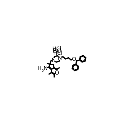 CC1=C(C)C2=C(N)C(C)(CN3CCN(CCCCOC(c4ccccc4)c4ccccc4)CC3)CC2=C(C)O1.Cl.Cl.Cl